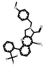 COc1ccc(CN2Cc3nc4c(-c5ccccc5C(F)(F)F)cccc4c(N)c3C2C=O)cc1